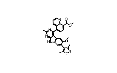 COC(=O)c1ccc(-c2nc(C)nc3[nH]c4cc(-c5c(C)noc5C)c(OC)cc4c23)c2cccnc12